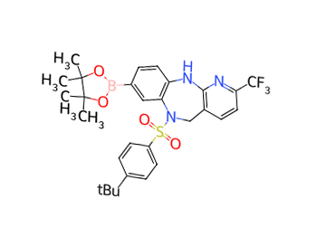 CC(C)(C)c1ccc(S(=O)(=O)N2Cc3ccc(C(F)(F)F)nc3Nc3ccc(B4OC(C)(C)C(C)(C)O4)cc32)cc1